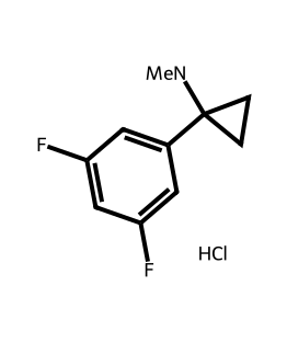 CNC1(c2cc(F)cc(F)c2)CC1.Cl